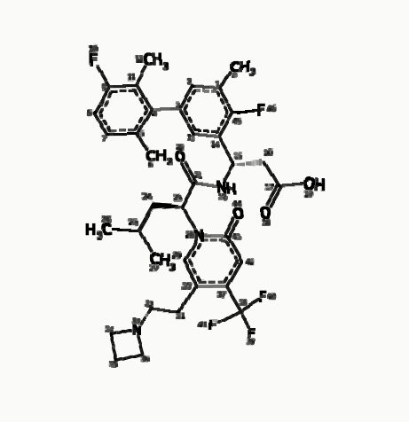 Cc1cc(-c2c(C)ccc(F)c2C)cc([C@H](CC(=O)O)NC(=O)[C@H](CC(C)C)n2cc(CCN3CCC3)c(C(F)(F)F)cc2=O)c1F